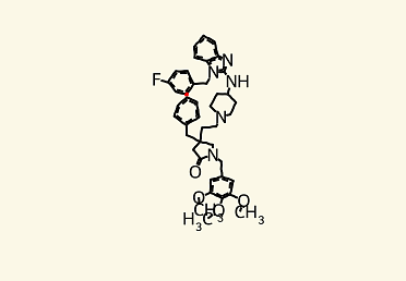 COc1cc(CN2CC(CCN3CCC(Nc4nc5ccccc5n4Cc4ccc(F)cc4)CC3)(Cc3ccccc3)CC2=O)cc(OC)c1OC